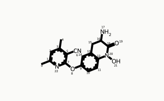 Cc1cc(C)c(C#N)c(Oc2ccc3c(c2)CC(N)C(=O)N3O)n1